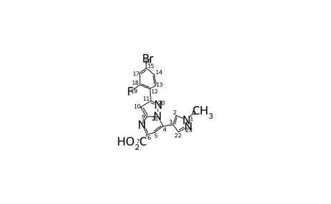 Cn1cc(-c2cc(C(=O)O)nc3cc(-c4ccc(Br)cc4F)nn23)cn1